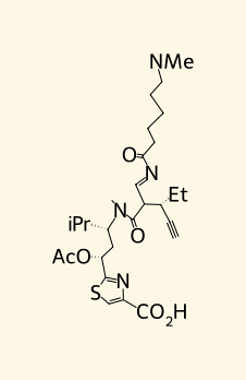 C#C[C@@H](CC)C(/C=N/C(=O)CCCCCNC)C(=O)N(C)[C@H](C[C@@H](OC(C)=O)c1nc(C(=O)O)cs1)C(C)C